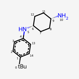 CC(C)(C)c1ccc(N[C@H]2CC[C@@H](N)CC2)cc1